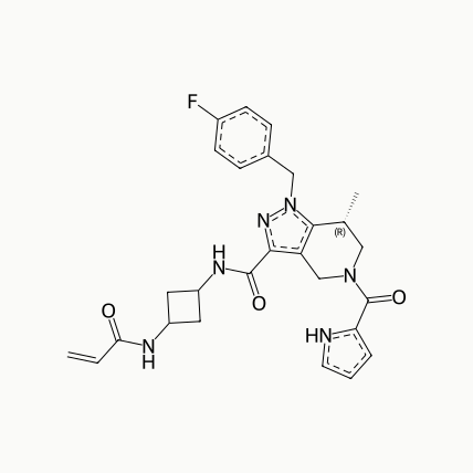 C=CC(=O)NC1CC(NC(=O)c2nn(Cc3ccc(F)cc3)c3c2CN(C(=O)c2ccc[nH]2)C[C@H]3C)C1